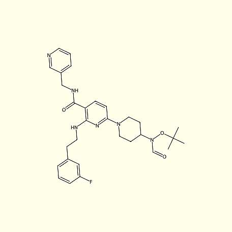 CC(C)(C)ON(C=O)C1CCN(c2ccc(C(=O)NCc3cccnc3)c(NCCc3cccc(F)c3)n2)CC1